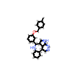 Cc1ccc(COc2cccc(C3Nc4ccccc4-c4cnnc5[nH]cc3c45)c2)cc1